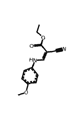 CCOC(=O)C(C#N)=CNc1ccc(OC)cc1